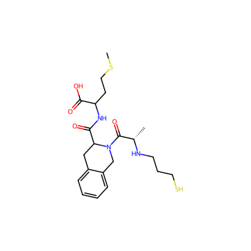 CSCCC(NC(=O)C1Cc2ccccc2CN1C(=O)[C@H](C)NCCCS)C(=O)O